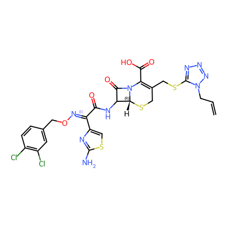 C=CCn1nnnc1SCC1=C(C(=O)O)N2C(=O)C(NC(=O)/C(=N/OCc3ccc(Cl)c(Cl)c3)c3csc(N)n3)[C@H]2SC1